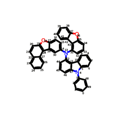 c1ccc(-n2c3ccccc3c3c(N(c4ccc5oc6ccc7ccccc7c6c5c4)c4cccc5oc6ccccc6c45)cccc32)cc1